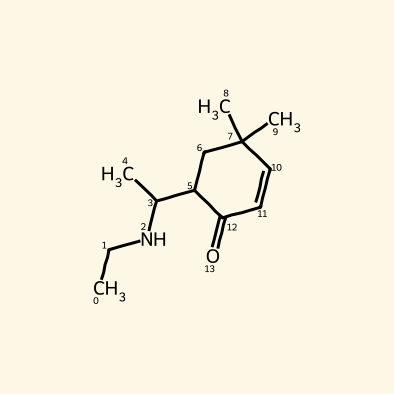 CCNC(C)C1CC(C)(C)C=CC1=O